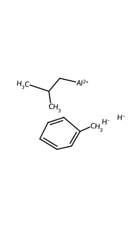 CC(C)[CH2][Al+2].Cc1ccccc1.[H-].[H-]